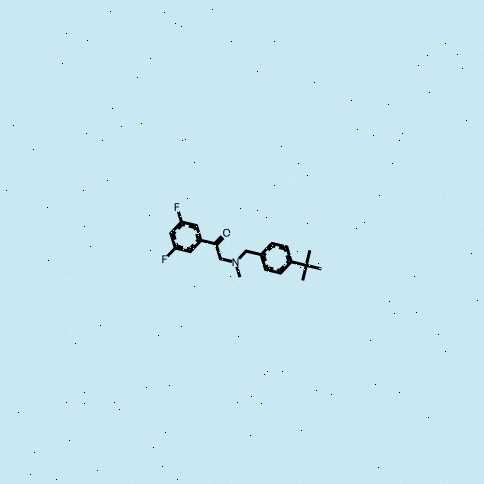 CN(CC(=O)c1cc(F)cc(F)c1)Cc1ccc(C(C)(C)C)cc1